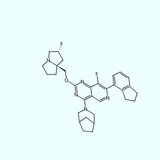 Fc1c(-c2cccc3c2CCC3)ncc2c(N3CC4CCC(C4)C3)nc(OC[C@@]34CCCN3C[C@H](F)C4)nc12